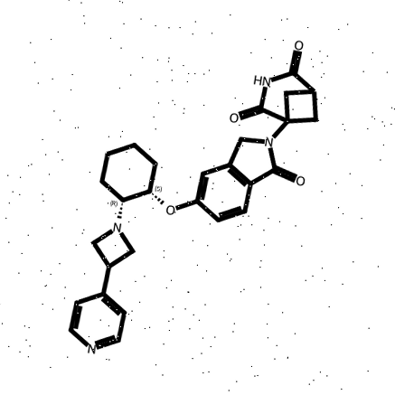 O=C1NC(=O)C2(N3Cc4cc(O[C@H]5CCCC[C@H]5N5CC(c6ccncc6)C5)ccc4C3=O)CC1C2